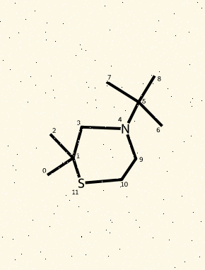 CC1(C)CN(C(C)(C)C)CCS1